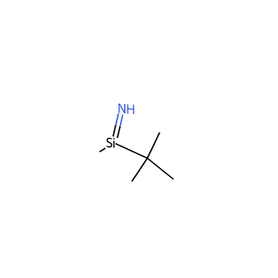 C[Si](=N)C(C)(C)C